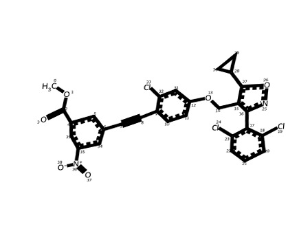 COC(=O)c1cc(C#Cc2ccc(OCc3c(-c4c(Cl)cccc4Cl)noc3C3CC3)cc2Cl)cc([N+](=O)[O-])c1